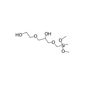 CO[Si](C)(COCC(O)COCCO)OC